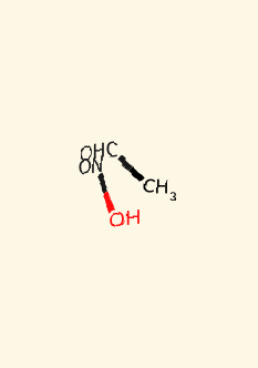 CC=O.O=NO